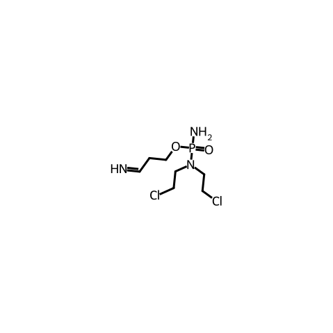 N=CCCOP(N)(=O)N(CCCl)CCCl